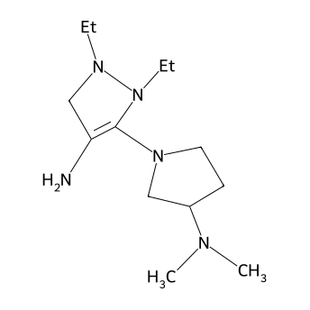 CCN1CC(N)=C(N2CCC(N(C)C)C2)N1CC